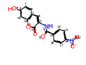 O=C(Nc1cc2ccc(O)cc2oc1=O)c1ccc([N+](=O)[O-])cc1